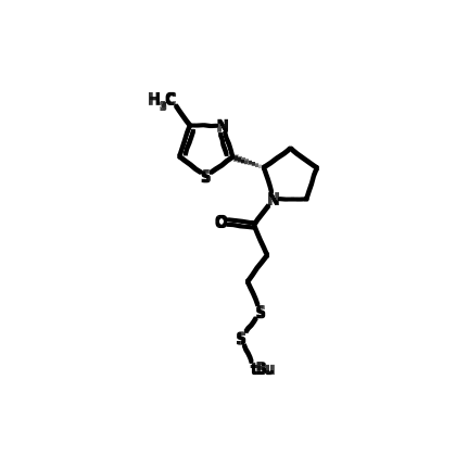 Cc1csc([C@@H]2CCCN2C(=O)CCSSC(C)(C)C)n1